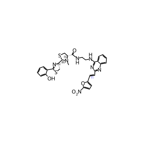 CN1[C@@H](C(=O)NCCNc2nc(/C=C/c3ccc([N+](=O)[O-])o3)nc3ccccc23)CS[C@@H]1[C@@H]1CSC(c2ccccc2O)=N1